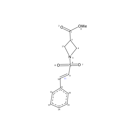 COC(=O)C1CN(S(=O)(=O)/C=C/c2ccccc2)C1